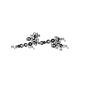 Cc1cc(-c2nc(C(N)=O)c(Nc3ccc(N4CCC(N5CC6(CCN(CNC(=O)c7nc(-c8cc(C)[nH]n8)c(NC8CCOCC8)nc7Nc7ccc(N8CCC(N9CCC%10(CC9)CN(C)C%10)CC8)c(C)c7)CC6)C5)CC4)c(C)c3)nc2NC2CCOCC2)n[nH]1